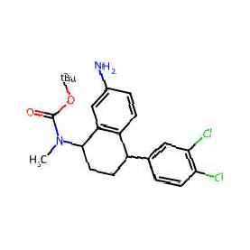 CN(C(=O)OC(C)(C)C)C1CCC(c2ccc(Cl)c(Cl)c2)c2ccc(N)cc21